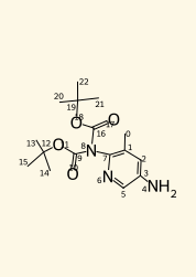 Cc1cc(N)cnc1N(C(=O)OC(C)(C)C)C(=O)OC(C)(C)C